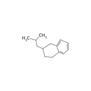 CC(C)CC1CCc2ccccc2C1